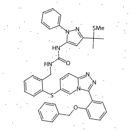 CSC(C)(C)c1cc(NC(=O)NCc2ccccc2Sc2ccc3nnc(-c4ccccc4OCc4ccccc4)n3c2)n(-c2ccccc2)n1